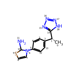 C[C@H](c1ccc(N2C=CSC2N)cc1)c1nnn[nH]1